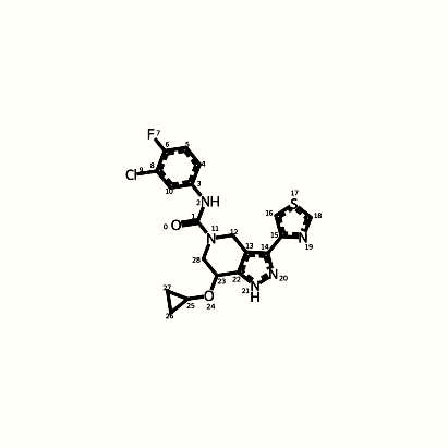 O=C(Nc1ccc(F)c(Cl)c1)N1Cc2c(-c3cscn3)n[nH]c2C(OC2CC2)C1